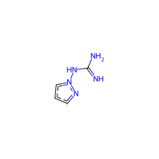 N=C(N)Nn1cc[c]n1